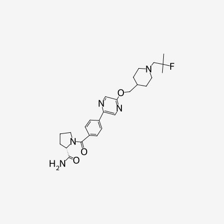 CC(C)(F)CN1CCC(COc2cnc(-c3ccc(C(=O)N4CCC[C@H]4C(N)=O)cc3)cn2)CC1